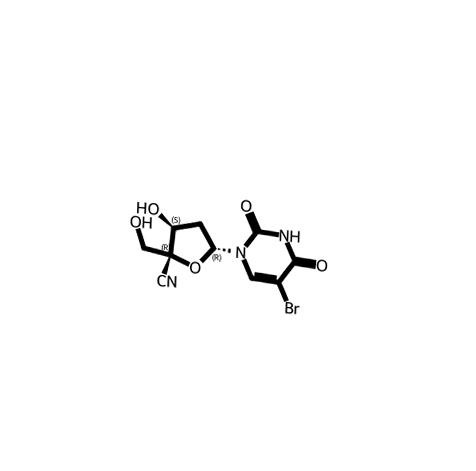 N#C[C@]1(CO)O[C@@H](n2cc(Br)c(=O)[nH]c2=O)C[C@@H]1O